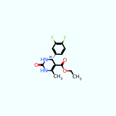 CCOC(=O)C1=C(C)NC(=O)N[C@@H]1c1ccc(F)c(F)c1